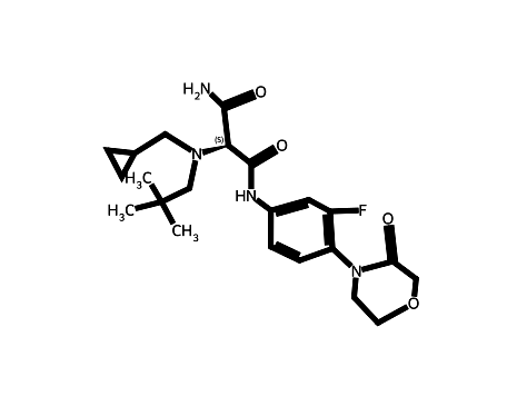 CC(C)(C)CN(CC1CC1)[C@@H](C(N)=O)C(=O)Nc1ccc(N2CCOCC2=O)c(F)c1